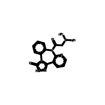 CCCN(CCC)CC(=O)N1c2ccccc2-n2c(n[nH]c2=O)-c2cccnc21